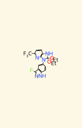 CCOC1(OCC)Nc2ccc(C(F)(F)F)nc2N1c1ccc2[nH]nc(F)c2c1